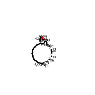 C[C@@H]1[C@H](O)[C@@H](C)/C=C/C=C/C=C/C=C/C=C/C=C/C=C/[C@H](O[C@@H]2O[C@H](C)[C@@H](O)[C@H](N)[C@@H]2O)C[C@@H]2O[C@](O)(C[C@@H](O)C[C@@H](O)[C@H](O)CC[C@@H](O)C[C@@H](O)CC(=O)O[C@H]1C)C[C@H](O)[C@H]2NC(N)=O